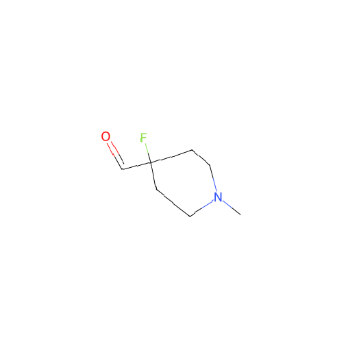 CN1CCC(F)(C=O)CC1